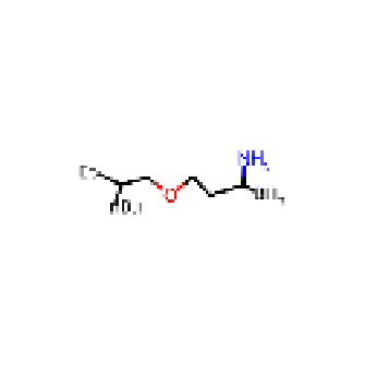 BC(N)CCOCC(CC)CCCC